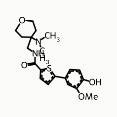 COc1cc(-c2ccc(C(=O)NCC3(N(C)C)CCOCC3)s2)ccc1O